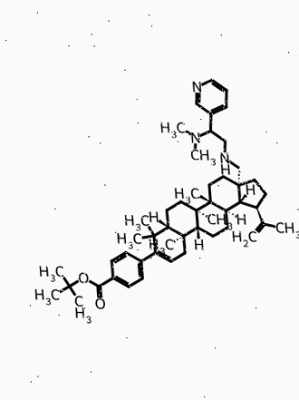 C=C(C)[C@@H]1CC[C@]2(CNCC(c3cccnc3)N(C)C)CC[C@]3(C)[C@H](CC[C@@H]4[C@@]5(C)CC=C(c6ccc(C(=O)OC(C)(C)C)cc6)C(C)(C)[C@@H]5CC[C@]43C)[C@@H]12